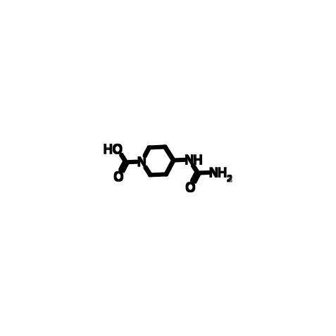 NC(=O)NC1CCN(C(=O)O)CC1